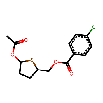 CC(=O)OC1CC[C@H](COC(=O)c2ccc(Cl)cc2)S1